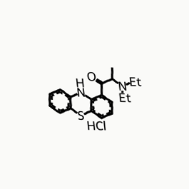 CCN(CC)C(C)C(=O)c1cccc2c1Nc1ccccc1S2.Cl